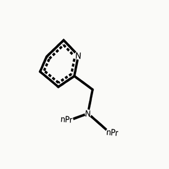 CCCN(CCC)Cc1ccccn1